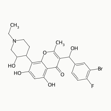 CCN1CCC(c2c(O)cc(O)c3c(=O)c(C(O)c4ccc(F)c(Br)c4)c(C)oc23)C(O)C1